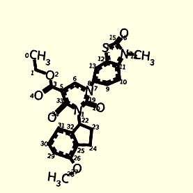 CCOC(=O)c1cn(-c2ccc3c(c2)sc(=O)n3C)c(=O)n(C2CCc3c(OC)cccc32)c1=O